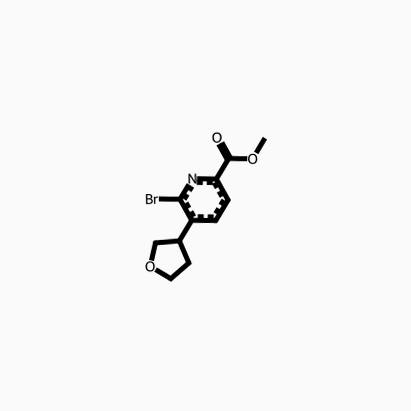 COC(=O)c1ccc(C2CCOC2)c(Br)n1